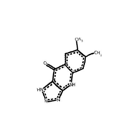 Cc1cc2[nH]c3nn[nH]c3c(=O)c2cc1C